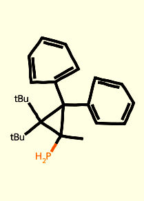 CC(C)(C)C1(C(C)(C)C)C(C)(P)C1(c1ccccc1)c1ccccc1